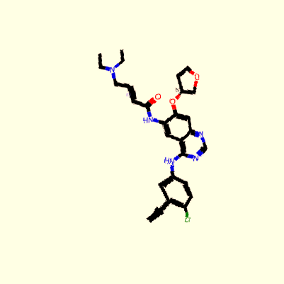 C#Cc1cc(Nc2ncnc3cc(O[C@H]4CCOC4)c(NC(=O)/C=C/CN(CC)CC)cc23)ccc1Cl